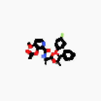 COc1ccnc(C(=O)N[C@@H](C)C(=O)O[C@@H](C)[C@H](Oc2ccc(F)cc2)c2ccccc2)c1OC(C)=O